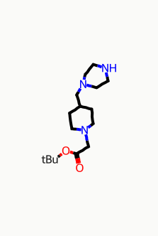 CC(C)(C)OC(=O)CN1CCC(CN2CCNCC2)CC1